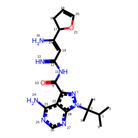 CC(C)C(C)(C)n1nc(C(=O)NC(=N)/C=C(\N)C2CC=CO2)c2c(N)ncnc21